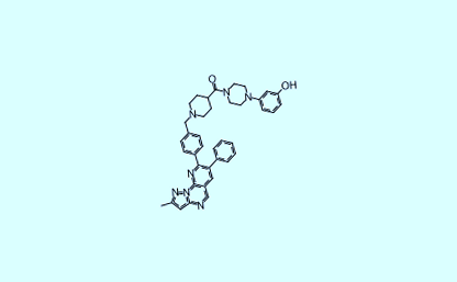 Cc1cc2ncc3cc(-c4ccccc4)c(-c4ccc(CN5CCC(C(=O)N6CCN(c7cccc(O)c7)CC6)CC5)cc4)nc3n2n1